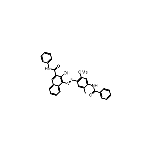 COc1cc(NC(=O)c2ccccc2)c(C)cc1N=Nc1c(O)c(C(=O)Nc2ccccc2)cc2ccccc12